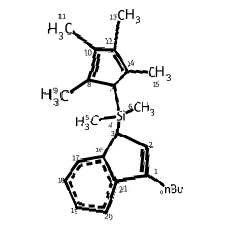 CCCCC1=CC([Si](C)(C)C2C(C)=C(C)C(C)=C2C)c2ccccc21